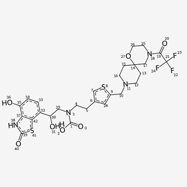 O=C(O)N(CCc1csc(CN2CCC3(CC2)CN(C(=O)C(F)(F)F)CCO3)c1)CC(O)c1ccc(O)c2[nH]c(=O)sc12